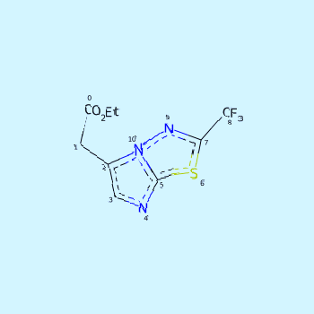 CCOC(=O)Cc1cnc2sc(C(F)(F)F)nn12